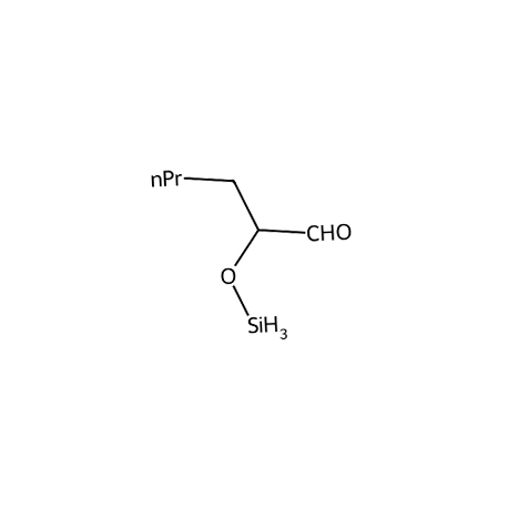 CCCCC(C=O)O[SiH3]